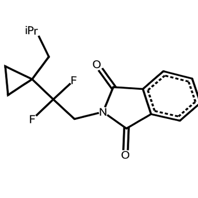 CC(C)CC1(C(F)(F)CN2C(=O)c3ccccc3C2=O)CC1